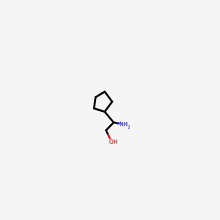 NC(CO)C1CCCC1